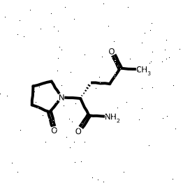 CC(=O)CC[C@H](C(N)=O)N1CCCC1=O